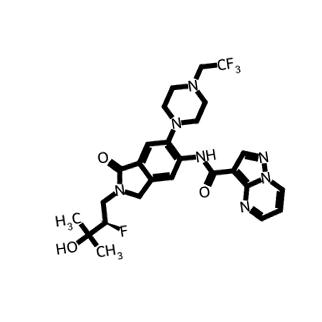 CC(C)(O)[C@H](F)CN1Cc2cc(NC(=O)c3cnn4cccnc34)c(N3CCN(CC(F)(F)F)CC3)cc2C1=O